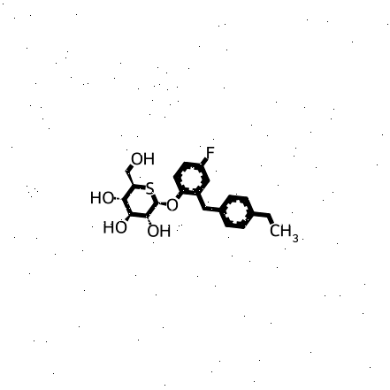 CCc1ccc(Cc2cc(F)ccc2O[C@@H]2S[C@H](CO)[C@@H](O)[C@H](O)[C@H]2O)cc1